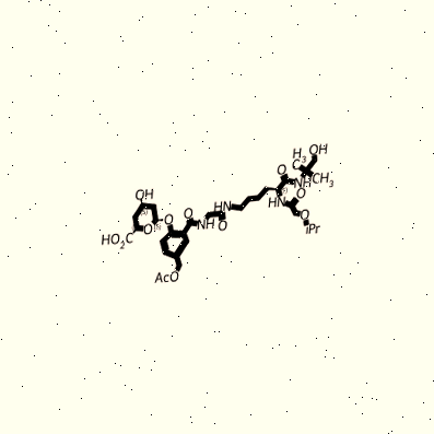 CC(=O)OCc1ccc(O[C@H]2C[C@@H](O)C[C@@H](C(=O)O)O2)c(C(=O)NCC(=O)NCCCC[C@H](NC(=O)COC(C)C)C(=O)NC(C)(C)CO)c1